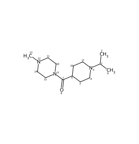 CC(C)N1CCC(C(=O)N2CCN(C)CC2)CC1